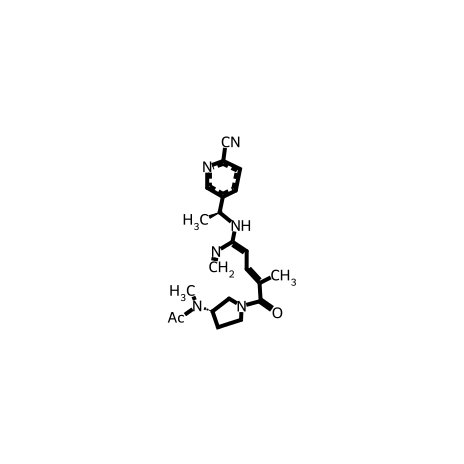 C=N/C(=C\C=C(/C)C(=O)N1CC[C@H](N(C)C(C)=O)C1)N[C@@H](C)c1ccc(C#N)nc1